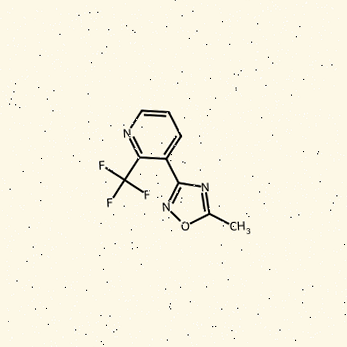 Cc1nc(-c2cccnc2C(F)(F)F)no1